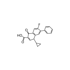 O=C(O)C1=CC(C2CC2)c2cc(-c3ccccc3)c(F)cc2C1=O